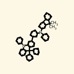 CC1(C)c2ccccc2-c2ccc(N(c3ccccc3)c3cccc(-c4ccc5c(c4)N(c4ccccc4)c4ccccc4C5(c4ccccc4)c4ccccc4)c3)cc21